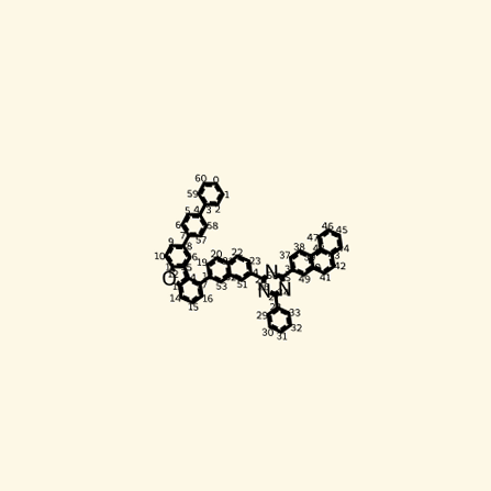 c1ccc(-c2ccc(-c3ccc4oc5cccc(-c6ccc7ccc(-c8nc(-c9ccccc9)nc(-c9ccc%10c(ccc%11ccccc%11%10)c9)n8)cc7c6)c5c4c3)cc2)cc1